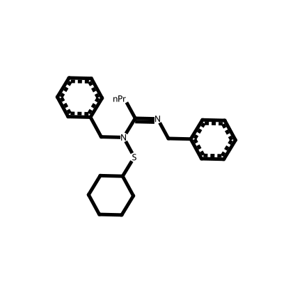 CCCC(=NCc1ccccc1)N(Cc1ccccc1)SC1CCCCC1